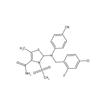 CC1=C(C(N)=O)N(S(C)(=O)=O)C(N(Cc2ccc(Cl)cc2F)c2ccc(C#N)cc2)S1